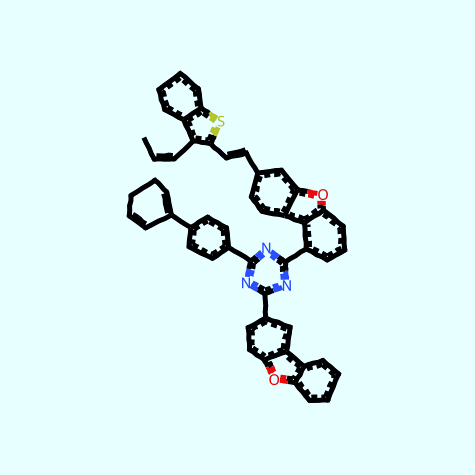 C/C=C\c1c(/C=C/c2ccc3c(c2)oc2cccc(-c4nc(-c5ccc(C6=CCCC=C6)cc5)nc(-c5ccc6oc7ccccc7c6c5)n4)c23)sc2ccccc12